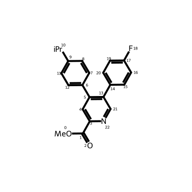 COC(=O)c1cc(-c2ccc(C(C)C)cc2)c(-c2ccc(F)cc2)cn1